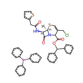 O=C(Cc1cccs1)N[C@@H]1C(=O)N2C(C(=O)OC(c3ccccc3)c3ccccc3)C(CCl)=CS[C@H]12.c1ccc(P(c2ccccc2)c2ccccc2)cc1